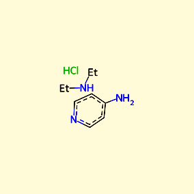 CCNCC.Cl.Nc1ccncc1